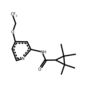 CC1(C)C(C(=O)Nc2cc(OCC(F)(F)F)ccn2)C1(C)C